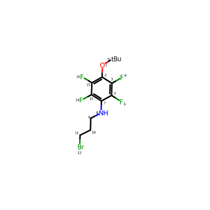 CC(C)(C)Oc1c(F)c(F)c(NCCCBr)c(F)c1F